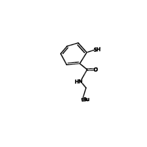 CC(C)(C)CNC(=O)c1ccccc1S